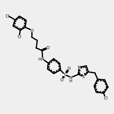 O=C(CCCOc1ccc(Cl)cc1Cl)Nc1ccc(S(=O)(=O)Nc2ncc(Cc3ccc(Cl)cc3)s2)cc1